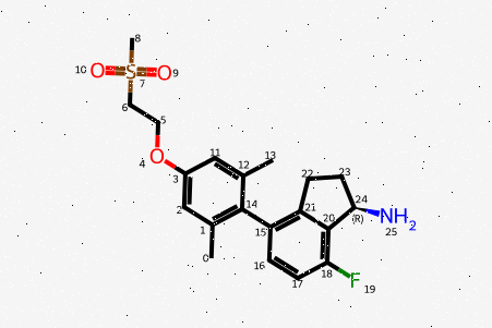 Cc1cc(OCCS(C)(=O)=O)cc(C)c1-c1ccc(F)c2c1CC[C@H]2N